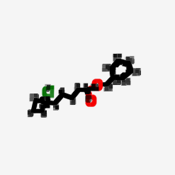 O=C(CCCC[Si]1(Cl)CCC1)OCc1ccccc1